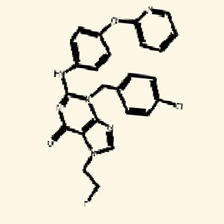 O=c1nc(Nc2ccc(Oc3ccccn3)cc2)n(Cc2ccc(Cl)cc2)c2ncn(CCF)c12